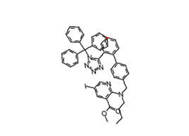 CCCCN(Cc1ccc(-c2ccccc2-c2nnnn2C(c2ccccc2)(c2ccccc2)c2ccccc2)cc1)c1ncc(I)cc1C(=O)OC